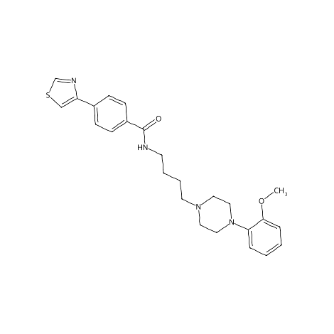 COc1ccccc1N1CCN(CCCCNC(=O)c2ccc(-c3cscn3)cc2)CC1